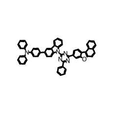 c1ccc(-c2nc(-c3ccc4c(c3)oc3ccc5ccccc5c34)nc(-n3c4ccccc4c4cc(-c5ccc(N(c6ccccc6)c6ccccc6)cc5)ccc43)n2)cc1